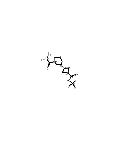 C[C@H](O)C(=O)N1CCC[C@H](C2CN(C(=O)OC(C)(C)C)C2)C1